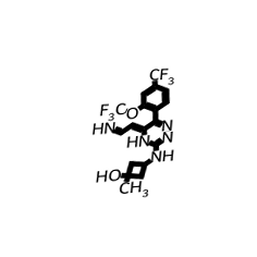 CC1(O)CC(NC2=NN=C(c3ccc(C(F)(F)F)cc3OC(F)(F)F)/C(=C/C=N)N2)C1